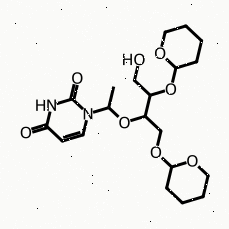 CC(OC(COC1CCCCO1)C(CO)OC1CCCCO1)n1ccc(=O)[nH]c1=O